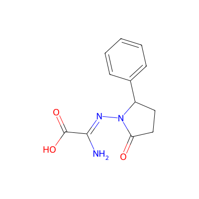 N/C(=N\N1C(=O)CCC1c1ccccc1)C(=O)O